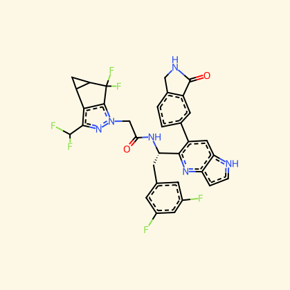 O=C(Cn1nc(C(F)F)c2c1C(F)(F)C1CC21)N[C@@H](Cc1cc(F)cc(F)c1)c1nc2cc[nH]c2cc1-c1ccc2c(c1)C(=O)NC2